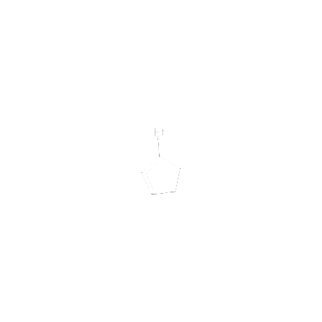 CCC1=C=CCC1